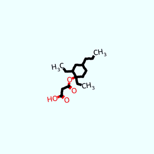 CCCC1CCC(CC)(OC(=O)CC(=O)O)C(CC)C1